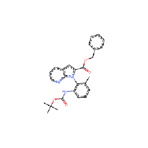 Cc1cccc(NC(=O)OC(C)(C)C)c1-n1c(C(=O)OCc2ccccc2)cc2cccnc21